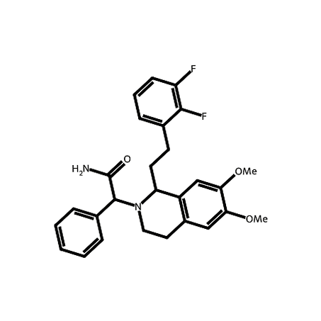 COc1cc2c(cc1OC)C(CCc1cccc(F)c1F)N(C(C(N)=O)c1ccccc1)CC2